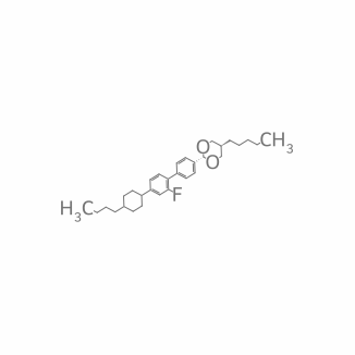 CCCCC[C@H]1CO[C@H](c2ccc(-c3ccc(C4CCC(CCCC)CC4)cc3F)cc2)OC1